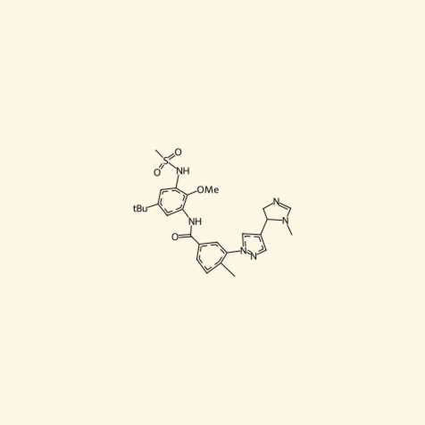 COc1c(NC(=O)c2ccc(C)c(-n3cc(C4CN=CN4C)cn3)c2)cc(C(C)(C)C)cc1NS(C)(=O)=O